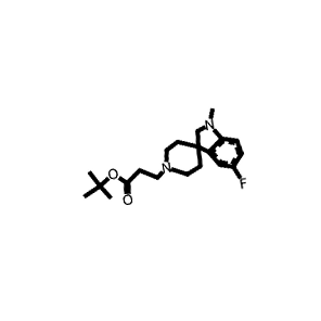 CN1CC2(CCN(CCC(=O)OC(C)(C)C)CC2)c2cc(F)ccc21